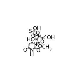 CO[C@@]1(n2ccc(=O)[nH]c2=O)O[C@H](CO)[C@@H](OP(O)(O)=S)[C@H]1O